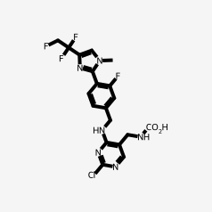 Cn1cc(C(F)(F)CF)nc1-c1ccc(CNc2nc(Cl)ncc2CNC(=O)O)cc1F